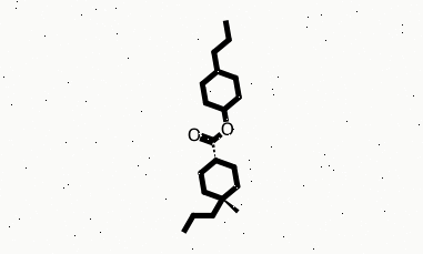 CCCC1CCC(OC(=O)[C@H]2CC[C@@](C)(CCC)CC2)CC1